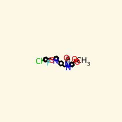 COC(=O)c1ccc2nc(CC3CCC(c4cccc(OCc5ccc(Cl)cc5F)n4)CC3)n(C[C@@H]3CCO3)c2c1